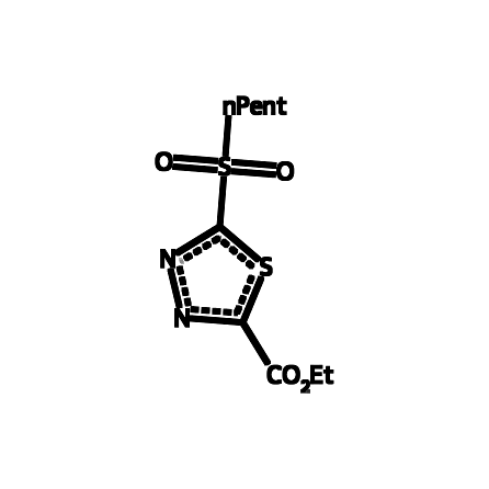 CCCCCS(=O)(=O)c1nnc(C(=O)OCC)s1